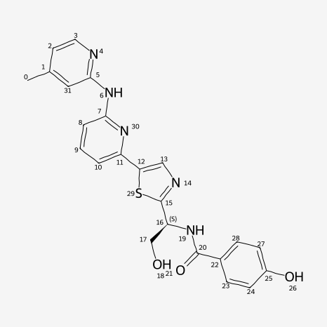 Cc1ccnc(Nc2cccc(-c3cnc([C@H](CO)NC(=O)c4ccc(O)cc4)s3)n2)c1